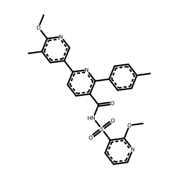 COc1ncc(-c2ccc(C(=O)NS(=O)(=O)c3cccnc3OC)c(-c3ccc(C)cc3)n2)cc1C